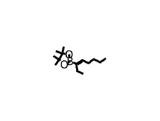 CCCCC=C(CC)B1OC(C)(C)C(C)(C)O1